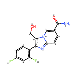 NC(=O)c1ccc2nc(-c3ccc(F)cc3F)c(CO)n2c1